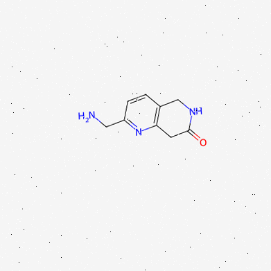 NCc1ccc2c(n1)CC(=O)NC2